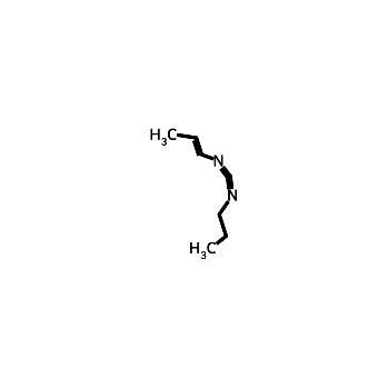 CC=CN=C=NCCC